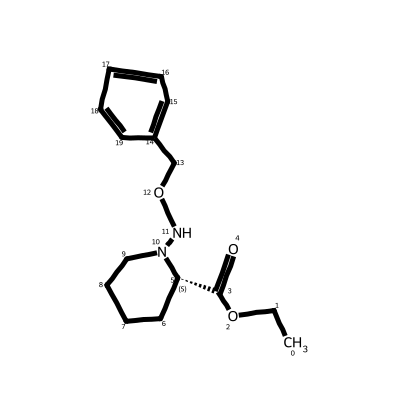 CCOC(=O)[C@@H]1CCCCN1NOCc1ccccc1